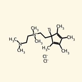 CC1=C(C)[C]([Ti])(CC[N+](C)(C)CCN(C)C)C(C)=C1C.[Cl-].[Cl-]